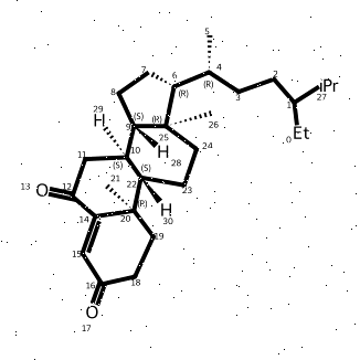 CCC(CC[C@@H](C)[C@H]1CC[C@H]2[C@@H]3CC(=O)C4=CC(=O)CC[C@]4(C)[C@H]3CC[C@]12C)C(C)C